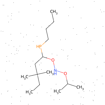 CCCCPC(CC(C)(C)CC)ONOC(C)C